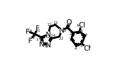 O=C(c1ccc(Cl)cc1Cl)N1CCn2c(nnc2C(F)(F)F)C1